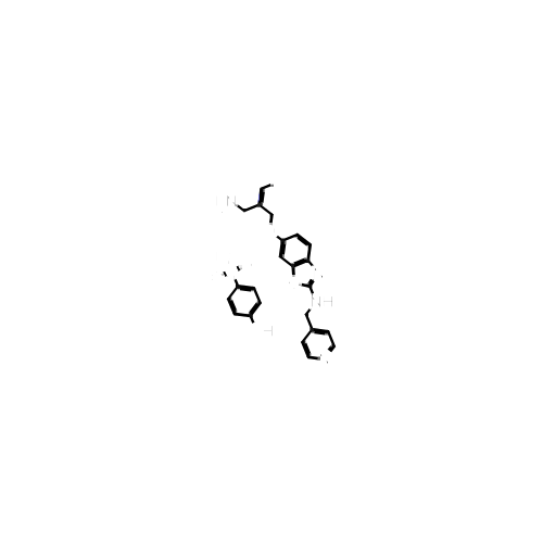 Cc1ccc(S(=O)(=O)O)cc1.NC/C(=C/F)COc1ccc2nc(NCc3ccncc3)oc2c1